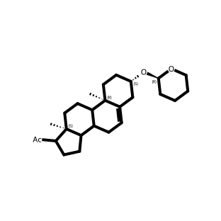 CC(=O)C1CCC2C3CC=C4C[C@@H](O[C@@H]5CCCCO5)CC[C@]4(C)C3CC[C@]12C